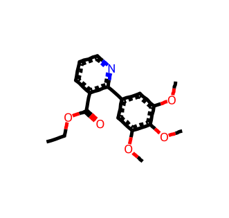 CCOC(=O)c1cccnc1-c1cc(OC)c(OC)c(OC)c1